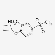 CS(=O)(=O)c1ccc(OC2CCC2)c(C(=O)O)c1